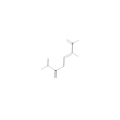 C=C(C/C=C(\C)C(=O)O)C(C)C